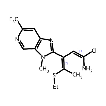 CCS/C(C)=C(/C=C(\N)Cl)c1nc2cc(C(F)(F)F)ncc2n1C